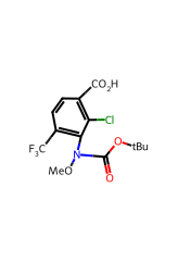 CON(C(=O)OC(C)(C)C)c1c(C(F)(F)F)ccc(C(=O)O)c1Cl